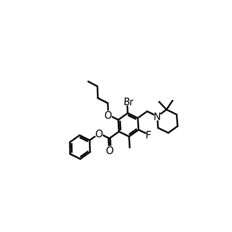 CCCCOc1c(Br)c(CN2CCCCC2(C)C)c(F)c(C)c1C(=O)Oc1ccccc1